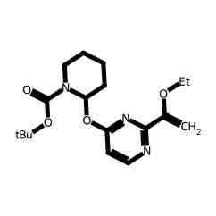 C=C(OCC)c1nccc(OC2CCCCN2C(=O)OC(C)(C)C)n1